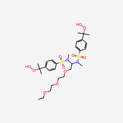 CCOCCOCCOCC(N(C)S(=O)(=O)c1ccc(C(C)(C)OO)cc1)N(C)S(=O)(=O)c1ccc(C(C)(C)OO)cc1